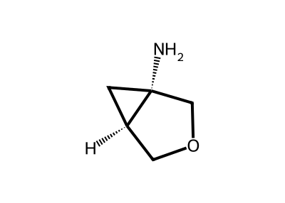 N[C@]12COC[C@H]1C2